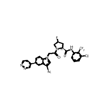 CC(=O)c1cn(CC(=O)N2CC(F)C[C@H]2C(=O)Nc2cccc(Cl)c2C(F)(F)F)c2ccc(-c3ccnnc3)cc12